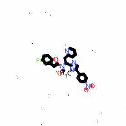 Cn1c(-c2ccc([N+](=O)[O-])cc2)cnc1C(Cc1ccccn1)N(C=O)c1cc2cc(F)ccc2o1